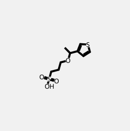 CC(OCCCS(=O)(=O)O)c1ccsc1